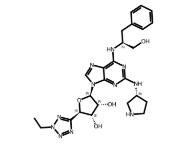 CCn1nnc([C@H]2O[C@@H](n3cnc4c(N[C@H](CO)Cc5ccccc5)nc(N[C@@H]5CCNC5)nc43)[C@H](O)[C@@H]2O)n1